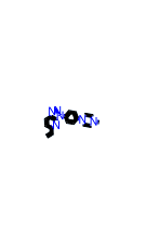 C=Cc1ccc2nnn(-c3ccc(N4CCN(C)CC4)cc3)c2n1